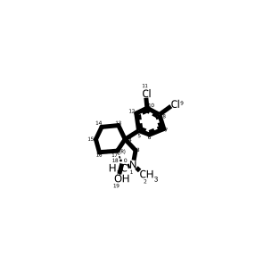 CN(C)CC1(c2ccc(Cl)c(Cl)c2)CCCC[C@H]1CO